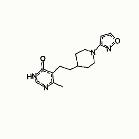 Cc1nc[nH]c(=O)c1CCC1CCN(c2ccon2)CC1